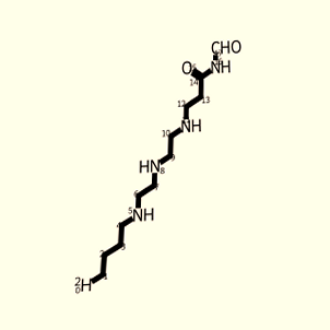 [2H]CCCCNCCNCCNCCC(=O)NC=O